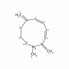 C=C1/C=C\C=C/C(=C)N(C)CCC1